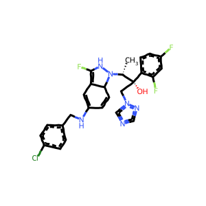 C[C@@H](N1NC(F)=C2C=C(NCc3ccc(Cl)cc3)C=CC21)[C@](O)(Cn1cncn1)c1ccc(F)cc1F